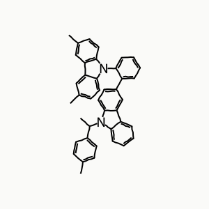 Cc1ccc(C(C)n2c3ccccc3c3cc(-c4ccccc4-n4c5ccc(C)cc5c5cc(C)ccc54)ccc32)cc1